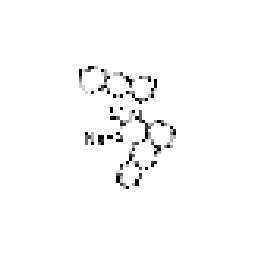 S=C([S-])N(c1cccc2cc3ccccc3cc12)c1cccc2cc3ccccc3cc12.[Na+]